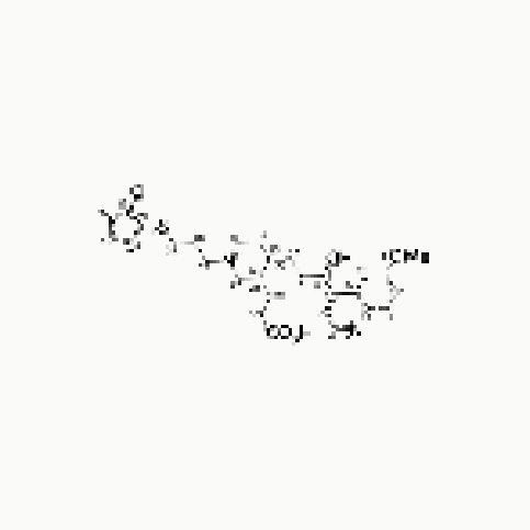 COc1ccc2nccc([C@H](O)CC[C@@H]3CCN(CCCSc4sccc4Cl)C[C@H]3CCC(=O)O)c2c1